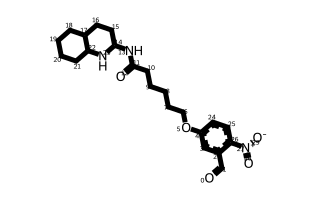 O=Cc1cc(OCCCCCC(=O)NC2CCC3CCCCC3N2)ccc1[N+](=O)[O-]